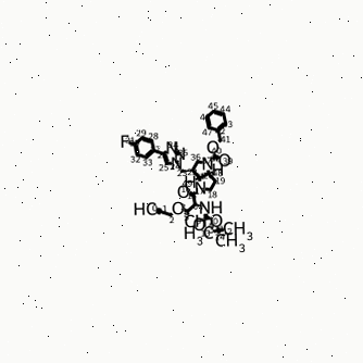 C#CCO[C@H](C)[C@H](NC(=O)OC(C)(C)C)C(=O)N1CC[C@@H]2[C@H]1[C@@H](Cn1cc(-c3ccc(F)cc3)nn1)CN2C(=O)OCc1ccccc1